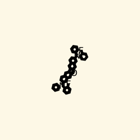 FC1=CCCC=C1N(c1ccccc1)c1ccc2cc3c(cc2c1)oc1cc2cc(N(c4ccccc4)c4ccccc4F)ccc2cc13